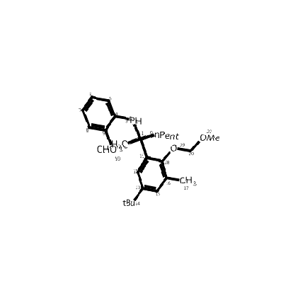 CCCCCC(C)(Pc1ccccc1C=O)c1cc(C(C)(C)C)cc(C)c1OCOC